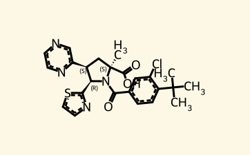 CC(C)(C)c1ccc(C(=O)N2[C@@H](c3nccs3)[C@@H](c3cnccn3)C[C@@]2(C)C(=O)O)cc1Cl